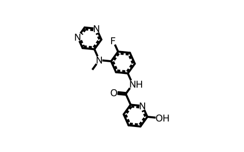 CN(c1cncnc1)c1cc(NC(=O)c2cccc(O)n2)ccc1F